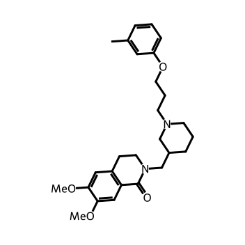 COc1cc2c(cc1OC)C(=O)N(CC1CCCN(CCCOc3cccc(C)c3)C1)CC2